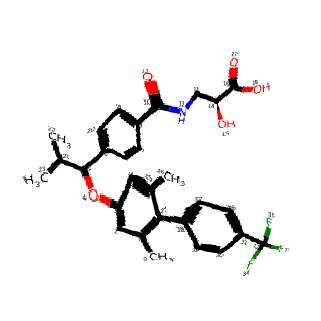 Cc1cc(OC(c2ccc(C(=O)NC[C@H](O)C(=O)O)cc2)C(C)C)cc(C)c1-c1ccc(C(F)(F)F)cc1